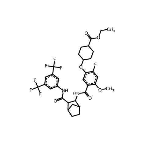 CCOC(=O)C1CCC(Oc2cc(C(=O)NC3C4CCC(C4)C3C(=O)Nc3cc(C(F)(F)F)cc(C(F)(F)F)c3)c(OC)cc2F)CC1